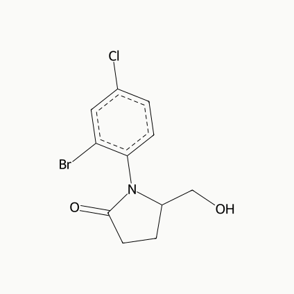 O=C1CCC(CO)N1c1ccc(Cl)cc1Br